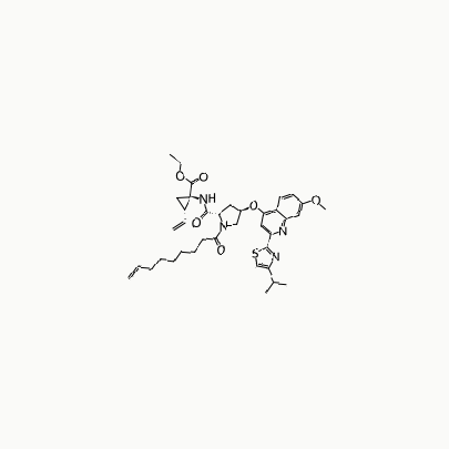 C=CCCCCCCC(=O)N1C[C@H](Oc2cc(-c3nc(C(C)C)cs3)nc3cc(OC)ccc23)C[C@H]1C(=O)N[C@]1(C(=O)OCC)C[C@H]1C=C